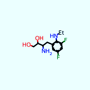 CCNc1c(F)cc(F)cc1CC(N)C(O)CO